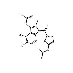 Cc1c(CC(=O)O)c2c(Cl)c(O)ccc2n1C(=O)c1ccc(OC(F)F)s1